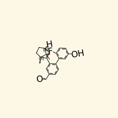 CC1(C)[C@H]2C=C(c3cc(C=O)ccc3-c3cc(O)ccc3F)[C@]1(C)CC2